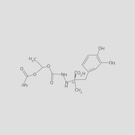 CCCC(=O)OC(C)OC(=O)NN[C@@](C)(Cc1ccc(O)c(O)c1)C(=O)O